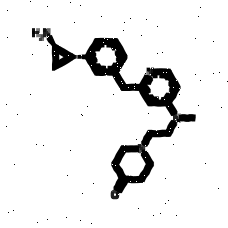 CN(CCN1CCC(=O)CC1)c1ccnc(Cc2cccc([C@@H]3C[C@H]3N)c2)c1